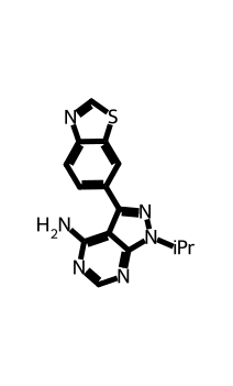 CC(C)n1nc(-c2ccc3ncsc3c2)c2c(N)ncnc21